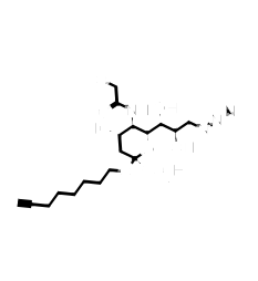 C#CCCCCCCO[C@]1(C(=O)O)C[C@H](O)[C@@H](NC(=O)CO)[C@H]([C@H](O)[C@H](O)CN=[N+]=[N-])O1